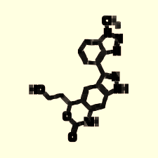 Cn1nnc2c(-c3n[nH]c4cc5c(cc34)C(CCO)OC(=O)N5)cccc21